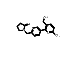 O=C1CCCN1Cc1ccc(-c2nc(C(F)(F)F)ccc2CO)cn1